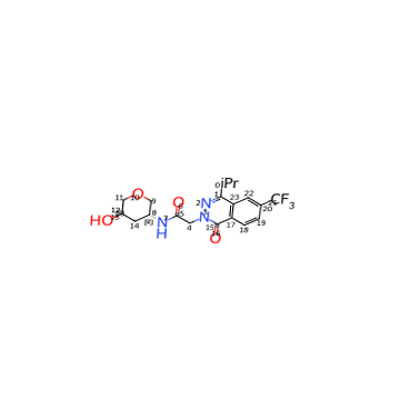 CC(C)c1nn(CC(=O)N[C@H]2COC[C@H](O)C2)c(=O)c2ccc(C(F)(F)F)cc12